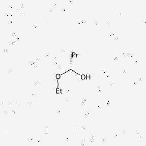 CCO[C@@H](O)C(C)C